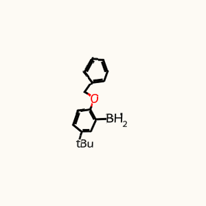 Bc1cc(C(C)(C)C)ccc1OCc1ccccc1